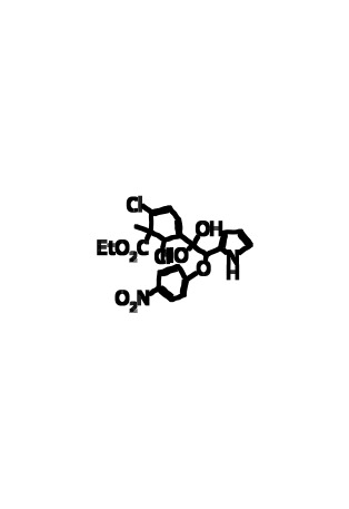 CCOC(=O)C1(C)C(Cl)=CC=C(C(O)(O)C(Oc2ccc([N+](=O)[O-])cc2)c2ccc[nH]2)C1Cl